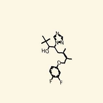 CC(COc1ccc(F)c(F)c1)=C(C)CC(C(O)C(C)(C)C)n1cncn1